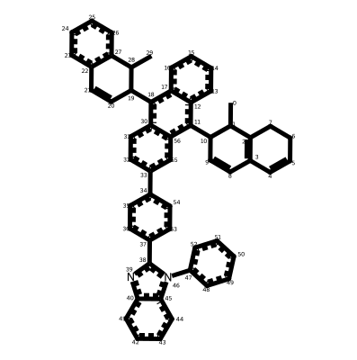 CC1C2=C(C=CCC2)C=CC1c1c2ccccc2c(C2C=Cc3ccccc3C2C)c2ccc(-c3ccc(-c4nc5ccccc5n4-c4ccccc4)cc3)cc12